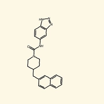 O=C(Nc1ccc2[nH]nnc2c1)N1CCC(Cc2ccc3ccccc3c2)CC1